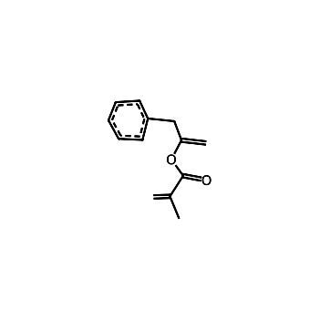 C=C(Cc1ccccc1)OC(=O)C(=C)C